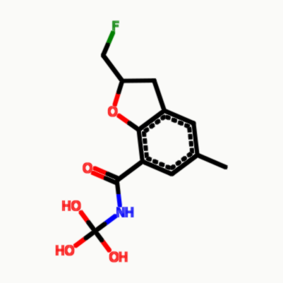 Cc1cc2c(c(C(=O)NC(O)(O)O)c1)OC(CF)C2